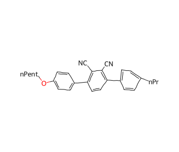 CCCCCOc1ccc(-c2ccc(-c3ccc(CCC)cc3)c(C#N)c2C#N)cc1